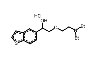 CCN(CC)CCOCC(O)c1ccc2sccc2c1.Cl